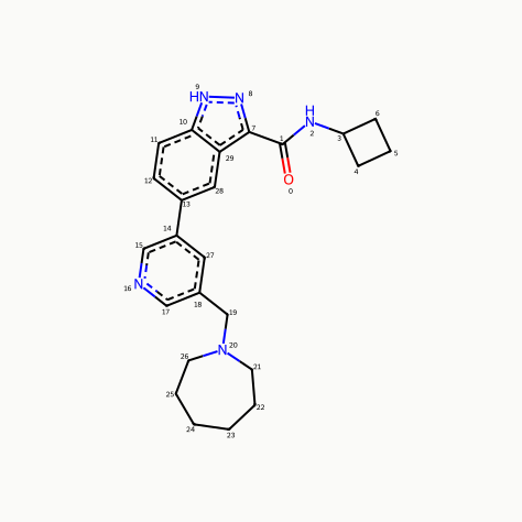 O=C(NC1CCC1)c1n[nH]c2ccc(-c3cncc(CN4CCCCCC4)c3)cc12